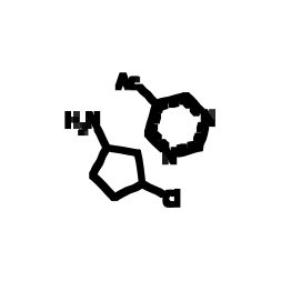 CC(=O)c1cncnc1.NC1CCC(Cl)C1